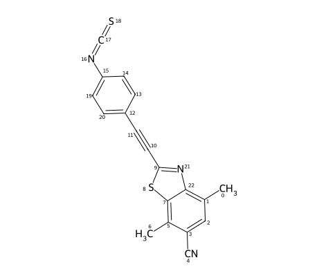 Cc1cc(C#N)c(C)c2sc(C#Cc3ccc(N=C=S)cc3)nc12